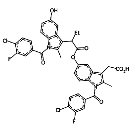 CCC(C(=O)Oc1ccc2c(c1)c(CC(=O)O)c(C)n2C(=O)c1ccc(Cl)c(F)c1)c1c(C)n(C(=O)c2ccc(Cl)c(F)c2)c2ccc(O)cc12